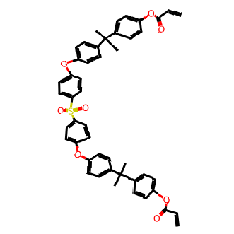 C=CC(=O)Oc1ccc(C(C)(C)c2ccc(Oc3ccc(S(=O)(=O)c4ccc(Oc5ccc(C(C)(C)c6ccc(OC(=O)C=C)cc6)cc5)cc4)cc3)cc2)cc1